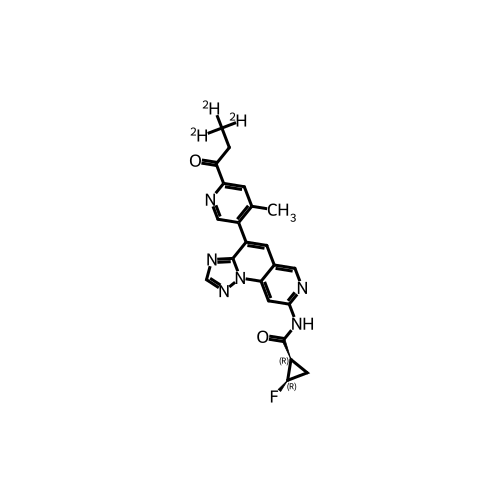 [2H]C([2H])([2H])CC(=O)c1cc(C)c(-c2cc3cnc(NC(=O)[C@H]4C[C@H]4F)cc3n3ncnc23)cn1